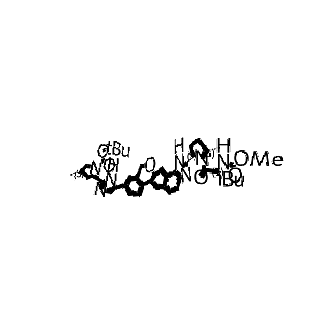 CCC(C)[C@H](NC(=O)OC)C(=O)N1[C@@H](C)CC[C@H]1c1nc2ccc3cc4c(cc3c2[nH]1)OCc1cc(-c2cnc(C3C[C@H](C)CN3C(=O)OC(C)(C)C)[nH]2)ccc1-4